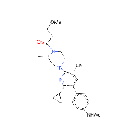 COCCC(=O)N1CCN(c2nc(C3CC3)c(-c3ccc(NC(C)=O)cc3)cc2C#N)CC1C